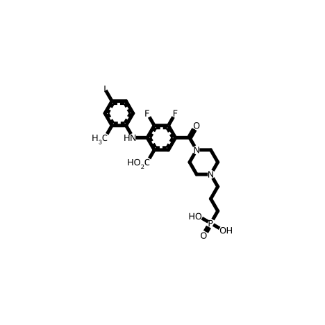 Cc1cc(I)ccc1Nc1c(C(=O)O)cc(C(=O)N2CCN(CCCP(=O)(O)O)CC2)c(F)c1F